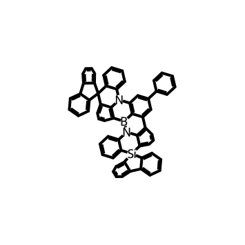 c1ccc(-c2cc3c4c(c2)N2c5ccccc5C5(c6ccccc6-c6ccccc65)c5cccc(c52)B4N2c4ccccc4[Si]4(c5ccccc5-c5ccccc54)c4cccc-3c42)cc1